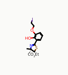 CCOC(=O)[C@@]1(C)CSC(c2cccc(OCCI)c2O)=N1